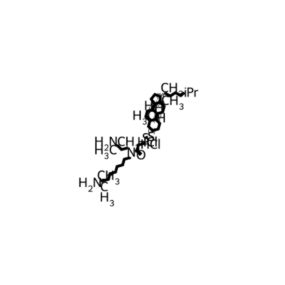 CC(C)CCCC(C)[C@H]1CC[C@H]2[C@@H]3CC=C4C[C@@H](SSCCC(=O)N(CCCCCCCC(C)(C)N)CCC(C)(C)N)CC[C@]4(C)[C@H]3CC[C@]12C.Cl.Cl